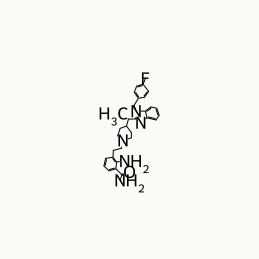 CC(c1nc2ccccc2n1Cc1ccc(F)cc1)C1CCN(CCc2cccc(C(N)=O)c2N)CC1